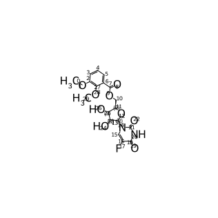 COc1cccc(C(=O)OC[C@H]2O[C@@H](n3cc(F)c(=O)[nH]c3=O)[C@H](O)[C@@H]2O)c1OC